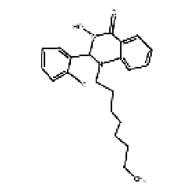 CCCCCCCCN1c2ccccc2C(=O)N(O)C1c1ccccc1Cl